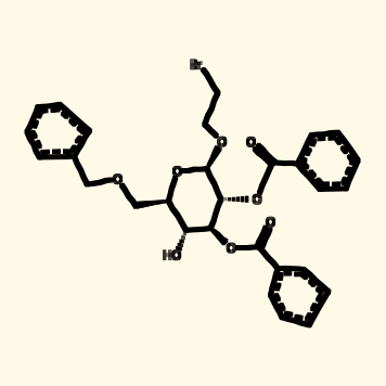 O=C(O[C@H]1[C@H](OCCBr)O[C@H](COCc2ccccc2)[C@@H](O)[C@@H]1OC(=O)c1ccccc1)c1ccccc1